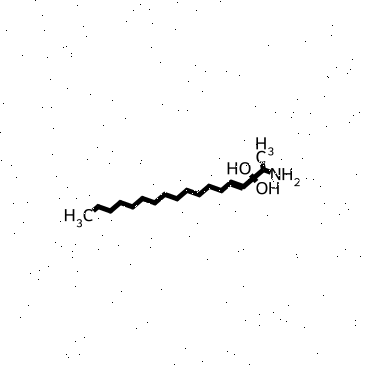 CCCCCCCCCCCCCC=CC(O)(O)C(C)N